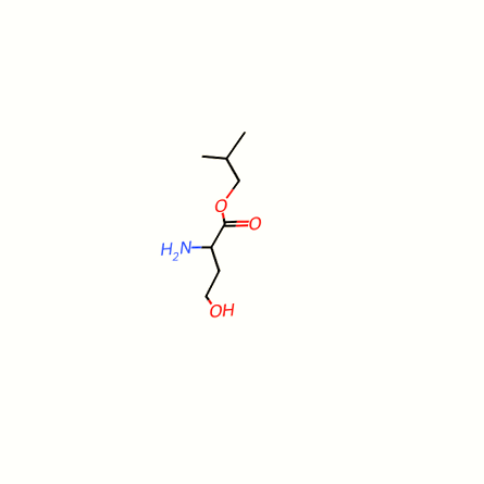 CC(C)COC(=O)C(N)CCO